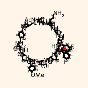 COc1ccc(C[C@H]2NC(=O)[C@H]([C@H](C)O)NC(=O)[C@@H]3C[C@H](F)CN3C(=O)[C@@H](Cc3c[nH]c4ccc(F)cc34)NC(=O)[C@@H](Cc3c[nH]c4ccc(F)cc34)NC(=O)[C@@H](C)NC(=O)[C@H](CCCCN)NC(=O)[C@H](NC(C)=O)CCc3cn(nn3)-c3ccc(cc3)C[C@@H](C(N)=O)NC(=O)[C@]3(C)CCCN3C2=O)cc1